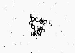 Cc1ncc(COc2cc(F)cc(Oc3ccc(-c4c[nH]c5ncnc(N)c45)cc3)c2)cn1